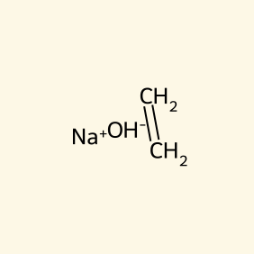 C=C.[Na+].[OH-]